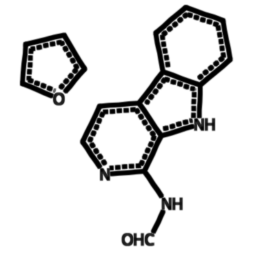 O=CNc1nccc2c1[nH]c1ccccc12.c1ccoc1